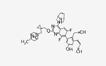 C#C/C=C\c1cc(O)cc(-c2c(F)cc3c(N4CC5CCC(C4)N5)nc(OCC4(CN5CC6CCC5CN6C)CC4)nc3c2F)c1CC#C